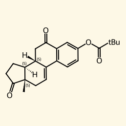 CC(C)(C)C(=O)Oc1ccc2c(c1)C(=O)C[C@@H]1C2=CC[C@]2(C)C(=O)CC[C@@H]12